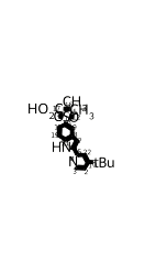 CC(C)(C)c1ccnc(-c2cc3cc(S(=O)(=O)C(C)(C)C(=O)O)ccc3[nH]2)c1